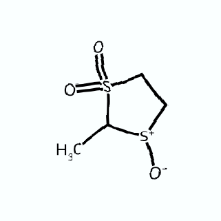 CC1[S+]([O-])CCS1(=O)=O